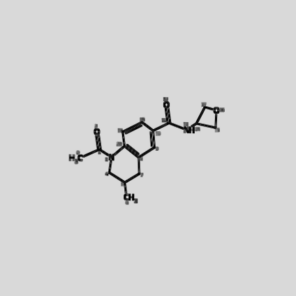 CC(=O)N1CC(C)Cc2cc(C(=O)NC3COC3)ccc21